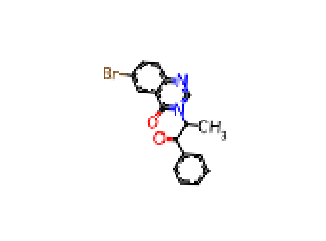 CC(C(=O)c1ccccc1)n1cnc2ccc(Br)cc2c1=O